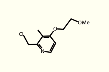 COCCOc1ccnc(CCl)c1C